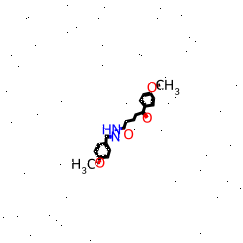 COc1ccc(C=NNC(=O)CCCC(=O)c2ccc(OC)cc2)cc1